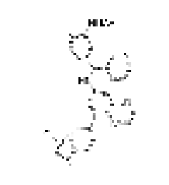 CC(=O)Nc1cc(C(Nc2cc(-c3ccc4scc(C)c4c3)c3nccnc3c2)c2cccnc2)ccn1